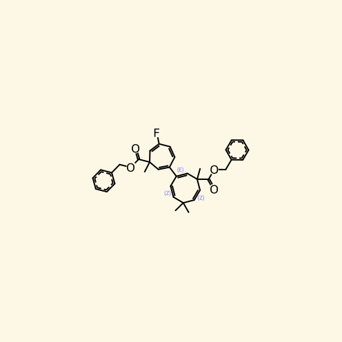 CC1(C)/C=C\C(C2=CC(C)(C(=O)OCc3ccccc3)C=C(F)C=C2)=C/C(C)(C(=O)OCc2ccccc2)/C=C\1